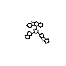 c1ccc2cc(-c3nc(-c4ccc5c(c4)sc4ccccc45)nc(-c4c5ccccc5cc5oc6ccccc6c45)n3)ccc2c1